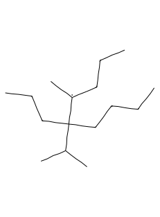 CCCCC(CCC)([C](C)CCC)C(C)C